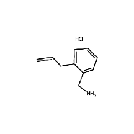 C=CCc1ccccc1CN.Cl